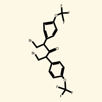 O=C(C(CBr)c1ccc(OC(F)(F)F)cc1)C(CBr)c1ccc(OC(F)(F)F)cc1